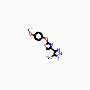 N#Cc1[nH]nnc1-c1csc(Oc2ccc(OC(F)(F)F)cc2)n1